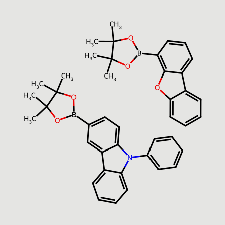 CC1(C)OB(c2ccc3c(c2)c2ccccc2n3-c2ccccc2)OC1(C)C.CC1(C)OB(c2cccc3c2oc2ccccc23)OC1(C)C